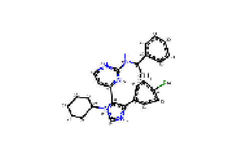 C[C@@H](Nc1nccc(-c2c(-c3ccc(F)cc3)ncn2C2CCCCC2)n1)c1ccccc1